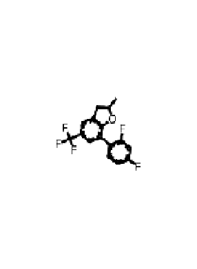 CC1Cc2cc(C(F)(F)F)cc(-c3ccc(F)cc3F)c2O1